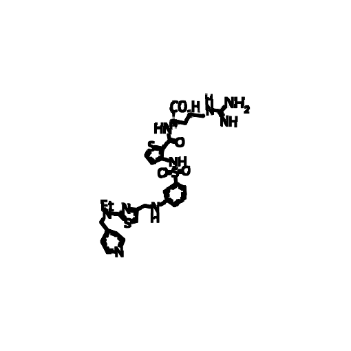 CCN(Cc1ccncc1)c1nc(CNc2cccc(S(=O)(=O)Nc3ccsc3C(=O)N[C@@H](CCCNC(=N)N)C(=O)O)c2)cs1